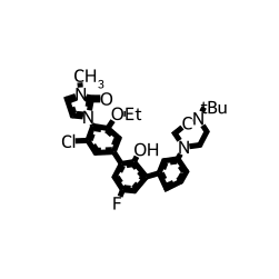 CCOc1cc(-c2cc(F)cc(-c3cccc(N4CCN(C(C)(C)C)CC4)c3)c2O)cc(Cl)c1-n1ccn(C)c1=O